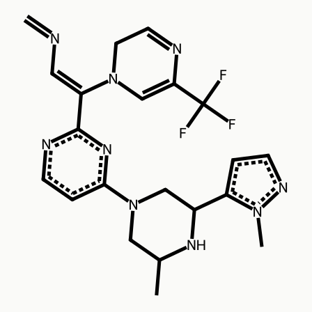 C=N/C=C(/c1nccc(N2CC(C)NC(c3ccnn3C)C2)n1)N1C=C(C(F)(F)F)N=CC1